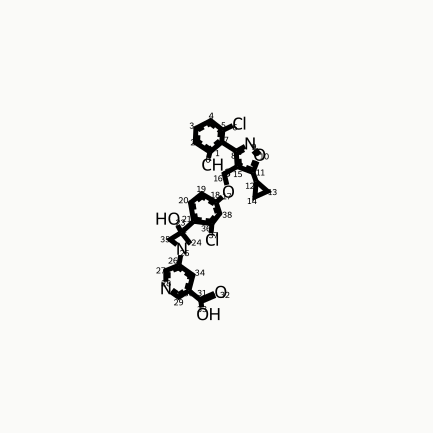 Cc1cccc(Cl)c1-c1noc(C2CC2)c1COc1ccc(C2(O)CN(c3cncc(C(=O)O)c3)C2)c(Cl)c1